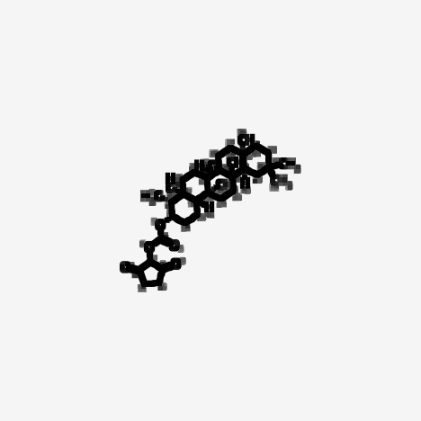 C[C@H]1[C@@H](OC(=O)OC2C(=O)CCC2=O)CC[C@@H]2[C@]1(C)CC[C@H]1[C@@]2(C)CC[C@@]2(C)[C@@H]3CC(C)(C)CC[C@]3(C)CC[C@]12C